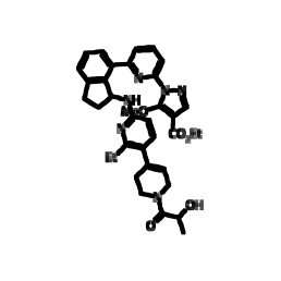 CCOC(=O)c1cnn(-c2cccc(-c3cccc4c3C(Nc3ccc(C5=CCN(C(=O)C(C)O)CC5)c(CC)n3)CC4)n2)c1OC